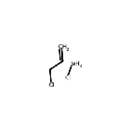 C=CCCl.[SiH3]Cl